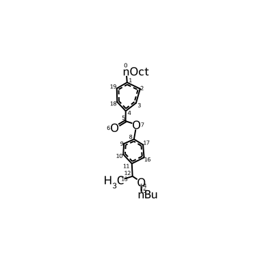 CCCCCCCCc1ccc(C(=O)Oc2ccc(C(C)OCCCC)cc2)cc1